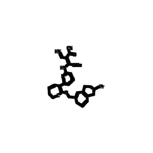 CO/C(Nc1cccc(C2=C(OCC3=CC4=C(C=CC3)CN(C(C)C)CC4)CCCC=C2)n1)=C(/C=N)C(=O)C#N